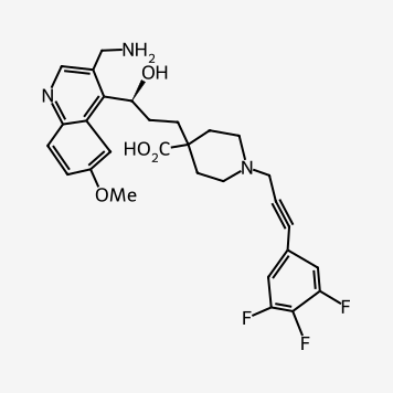 COc1ccc2ncc(CN)c([C@@H](O)CCC3(C(=O)O)CCN(CC#Cc4cc(F)c(F)c(F)c4)CC3)c2c1